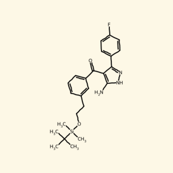 CC(C)(C)[Si](C)(C)OCCc1cccc(C(=O)c2c(-c3ccc(F)cc3)n[nH]c2N)c1